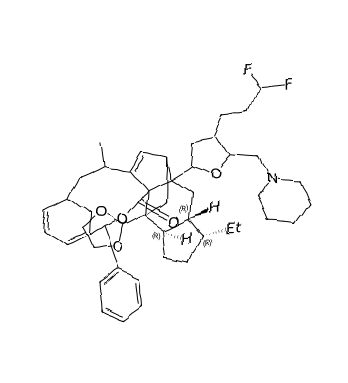 CC[C@@H]1CC[C@@H]2[C@@H]1CC1(C3CC(CCC(F)F)C(CN4CCCCC4)O3)C3C=C4C(C)CC5C=CC=C(C5)C(c5ccccc5)OC(=O)C41C2(C1OCCO1)C3